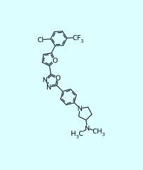 CN(C)C1CCN(c2ccc(-c3nnc(-c4ccc(-c5cc(C(F)(F)F)ccc5Cl)o4)o3)cc2)C1